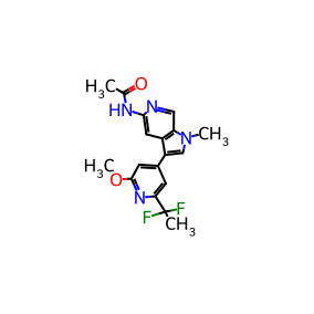 COc1cc(-c2cn(C)c3cnc(NC(C)=O)cc23)cc(C(C)(F)F)n1